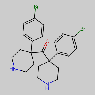 O=C(C1(c2ccc(Br)cc2)CCNCC1)C1(c2ccc(Br)cc2)CCNCC1